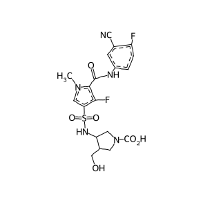 Cn1cc(S(=O)(=O)NC2CN(C(=O)O)CC2CO)c(F)c1C(=O)Nc1ccc(F)c(C#N)c1